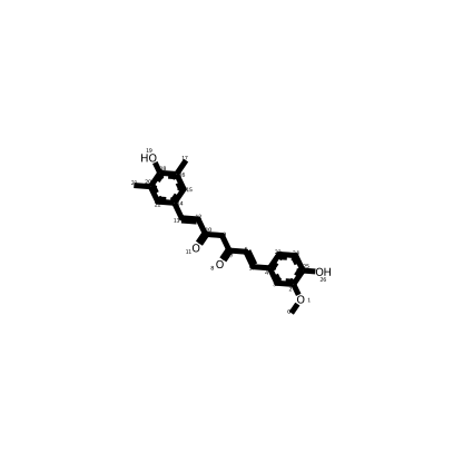 COc1cc(C=CC(=O)CC(=O)C=Cc2cc(C)c(O)c(C)c2)ccc1O